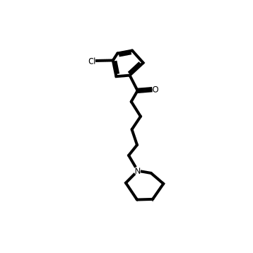 O=C(CCCCCN1CC[CH]CC1)c1cccc(Cl)c1